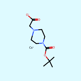 CC(C)(C)OC(=O)N1CCN(CC(=O)[O-])CC1.[Cs+]